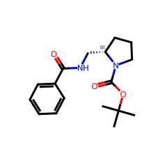 CC(C)(C)OC(=O)N1CCC[C@H]1CNC(=O)c1ccccc1